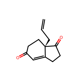 C=CC[C@]12CCC(=O)C=C1CCC2=O